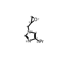 CC(C)c1cn(CC2CO2)cn1